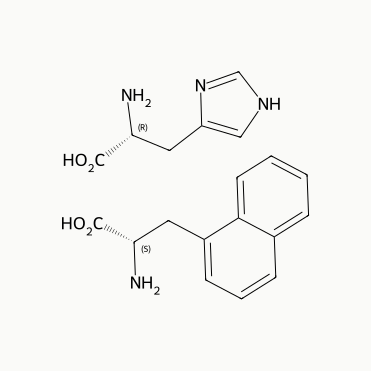 N[C@@H](Cc1cccc2ccccc12)C(=O)O.N[C@H](Cc1c[nH]cn1)C(=O)O